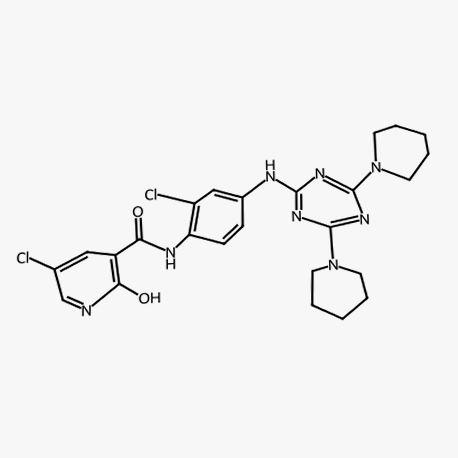 O=C(Nc1ccc(Nc2nc(N3CCCCC3)nc(N3CCCCC3)n2)cc1Cl)c1cc(Cl)cnc1O